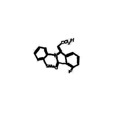 CSc1ccccc1N1C(=O)c2c(F)cccc2/C1=C\C(=O)O